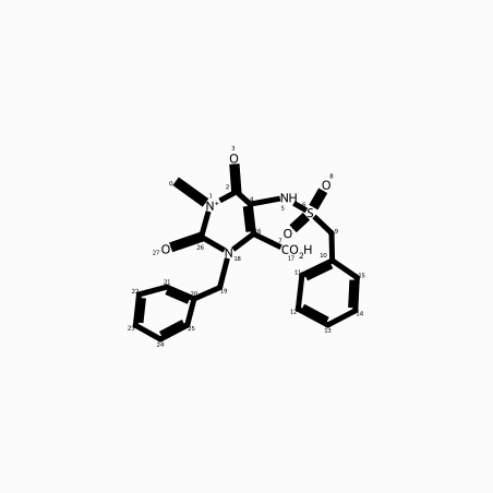 C=[N+]1C(=O)C(NS(=O)(=O)Cc2ccccc2)=C(C(=O)O)N(Cc2ccccc2)C1=O